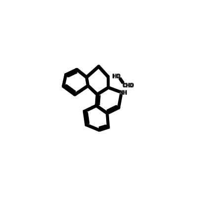 C1=CC2CCC3NC=c4ccccc4=C3C2C=C1.O=CO